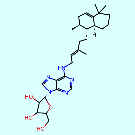 C/C(=C\CNc1ncnc2c1ncn2[C@@H]1OC(CO)C(O)C1O)CC[C@H]1[C@@H]2CCCC(C)(C)C2=CC[C@@H]1C